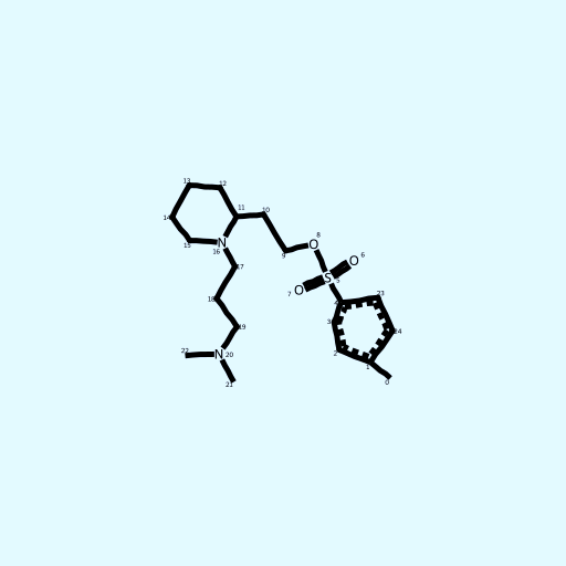 Cc1ccc(S(=O)(=O)OCCC2CCCCN2CCCN(C)C)cc1